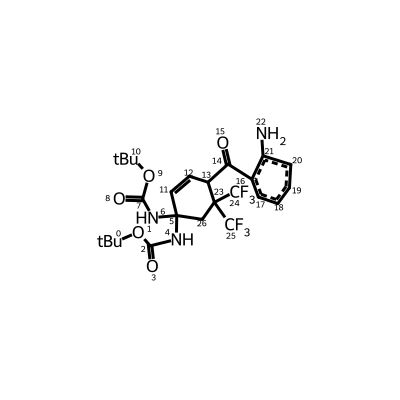 CC(C)(C)OC(=O)NC1(NC(=O)OC(C)(C)C)C=CC(C(=O)c2ccccc2N)C(C(F)(F)F)(C(F)(F)F)C1